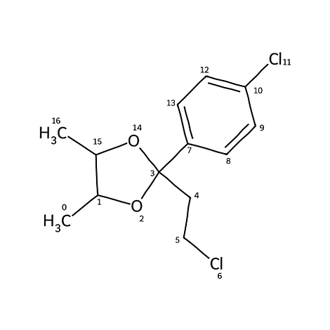 CC1OC(CCCl)(c2ccc(Cl)cc2)OC1C